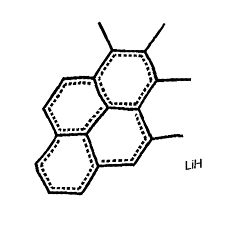 Cc1c(C)c2ccc3cccc4cc(C)c(c1C)c2c34.[LiH]